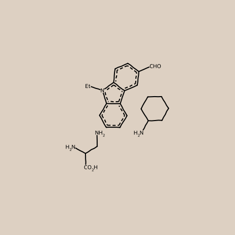 CCn1c2ccccc2c2cc(C=O)ccc21.NC1CCCCC1.NCC(N)C(=O)O